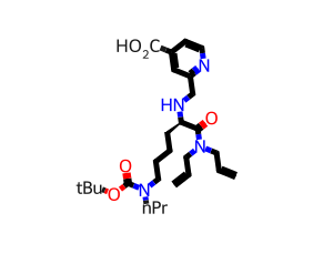 C=CCN(CC=C)C(=O)[C@@H](CCCCN(CCC)C(=O)OC(C)(C)C)NCc1cc(C(=O)O)ccn1